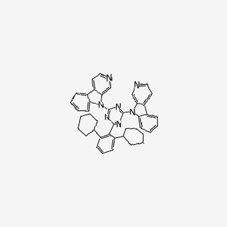 c1cc(C2CCCCC2)c(-c2nc(-n3c4ccccc4c4ccncc43)nc(-n3c4ccccc4c4ccncc43)n2)c(C2CCCCC2)c1